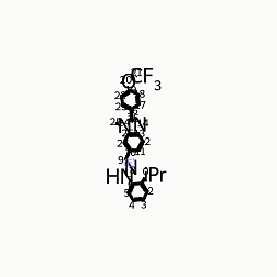 CC(C)c1ccccc1N/N=C/c1ccc2nc(-c3ccc(OC(F)(F)F)cc3)n(C)c2c1